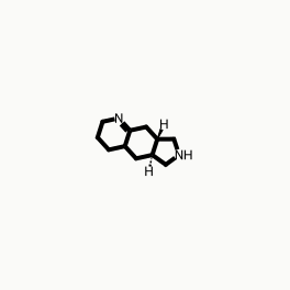 C1CN=C2C[C@@H]3CNC[C@H]3CC2C1